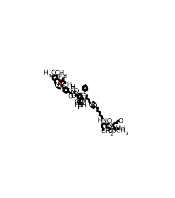 C=C/C=C\C(NCCCCCCN1CCN(CCC(CSc2ccccc2)Nc2ccc(S(=O)(=O)NC(=O)c3ccc(N4CCN(CC5=C(C6CC6(CC)C(F)F)CC(C)(C)CC5)CC4)cc3)cc2S(=O)(=O)C(F)(F)F)CC1)=C1/CC(=O)N(C(CCC=O)C(=O)NC)C1=O